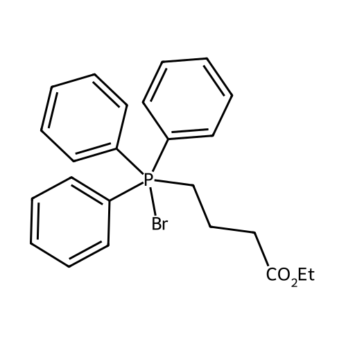 CCOC(=O)CCCP(Br)(c1ccccc1)(c1ccccc1)c1ccccc1